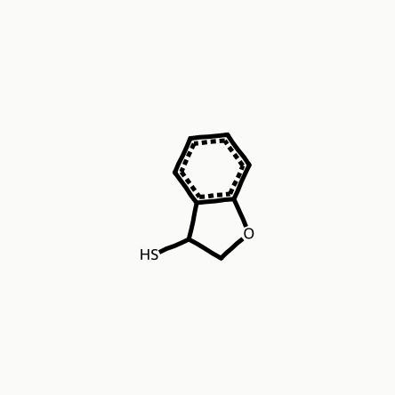 SC1COc2ccccc21